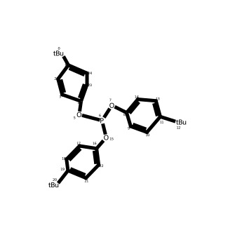 CC(C)(C)c1ccc(OP(Oc2ccc(C(C)(C)C)cc2)Oc2ccc(C(C)(C)C)cc2)cc1